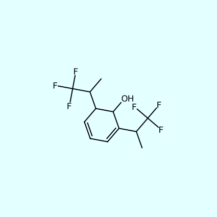 CC(C1=CC=CC(C(C)C(F)(F)F)C1O)C(F)(F)F